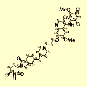 COc1cc(Nc2c(C#N)cnc3cc(OCCCN4CCN(Cc5ccc6c(c5)CN(C5CCC(=O)NC5=O)C6=O)CC4)c(OC)cc23)c(Cl)cc1Cl